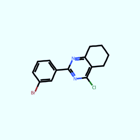 Clc1nc(-c2cccc(Br)c2)nc2c1CCCC2